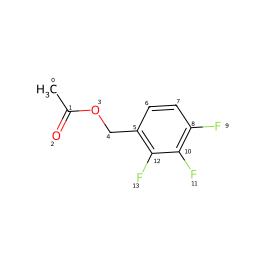 CC(=O)OCc1ccc(F)c(F)c1F